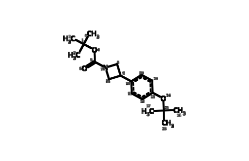 CC(C)(C)OC(=O)N1CC(c2ccc(OC(C)(C)C)cc2)C1